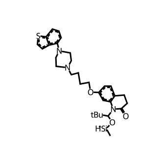 C[SiH](C)OC(N1C(=O)CCc2ccc(OCCCCN3CCN(c4cccc5sccc45)CC3)cc21)C(C)(C)C